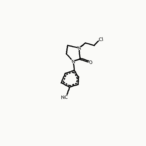 N#Cc1ccc(N2CCN(CCCl)C2=O)cc1